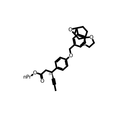 CC#C[C@@H](CC(=O)OCCC)c1ccc(OCc2cccc(C34CCC5(CC3O4)OCCO5)c2)cc1